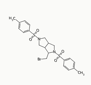 Cc1ccc(S(=O)(=O)N2CC3CN(S(=O)(=O)c4ccc(C)cc4)C(CBr)C3C2)cc1